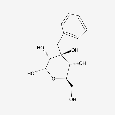 OC[C@H]1O[C@H](O)[C@H](O)[C@](O)(Cc2ccccc2)[C@@H]1O